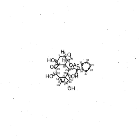 CC(=O)O[C@@]12CO[C@@H]1C[C@H](O)[C@@]1(C)C(=O)[C@H](O)C3=C(C)[C@@H](O)C[C@](O)([C@@H](OC(=O)c4ccccc4)[C@H]21)C3(C)C